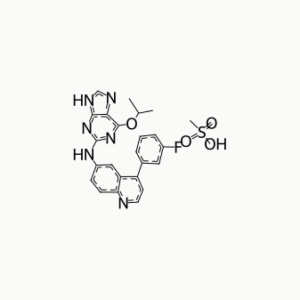 CC(C)Oc1nc(Nc2ccc3nccc(-c4cccc(F)c4)c3c2)nc2[nH]cnc12.CS(=O)(=O)O